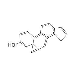 OC1=CC23C=C2C=c2c4c(ccc2=C3C=C1)C=CC4